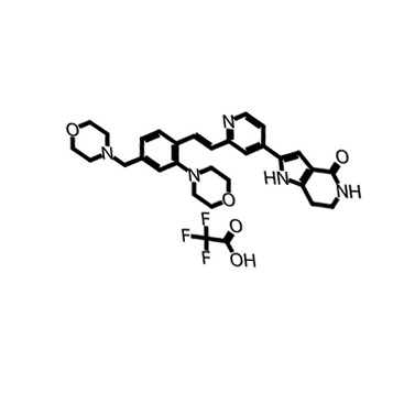 O=C(O)C(F)(F)F.O=C1NCCc2[nH]c(-c3ccnc(C=Cc4ccc(CN5CCOCC5)cc4N4CCOCC4)c3)cc21